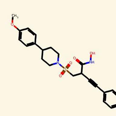 COc1ccc(C2CCN(S(=O)(=O)CC(C#Cc3ccccc3)C(=O)NO)CC2)cc1